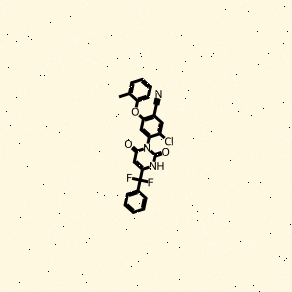 Cc1ccccc1Oc1cc(-n2c(=O)cc(C(F)(F)c3ccccc3)[nH]c2=O)c(Cl)cc1C#N